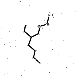 CCCCC(CC)CNNN